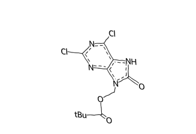 CC(C)(C)C(=O)OCn1c(=O)[nH]c2c(Cl)nc(Cl)nc21